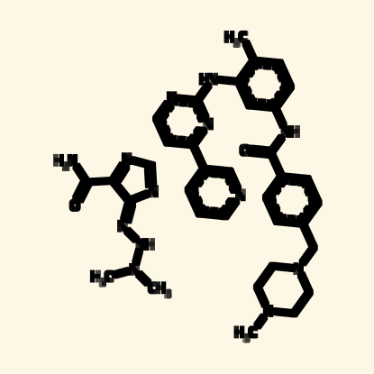 CN(C)N/N=C1\N=CN=C1C(N)=O.Cc1ccc(NC(=O)c2ccc(CN3CCN(C)CC3)cc2)cc1Nc1nccc(-c2cccnc2)n1